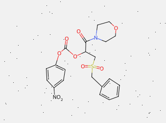 O=C(Oc1ccc([N+](=O)[O-])cc1)OC(CS(=O)(=O)Cc1ccccc1)C(=O)N1CCOCC1